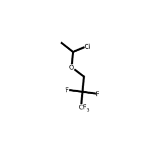 CC(Cl)OCC(F)(F)C(F)(F)F